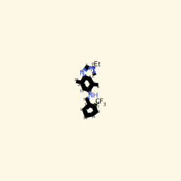 CCN(C)/C=N\c1cc(C)c(NCc2ccccc2C(F)(F)F)cc1C